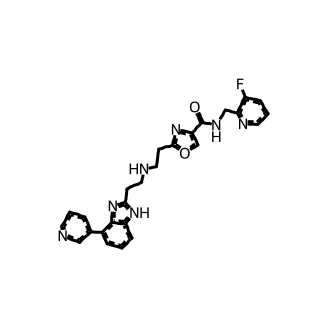 O=C(NCc1ncccc1F)c1coc(CCNCCc2nc3c(-c4cccnc4)cccc3[nH]2)n1